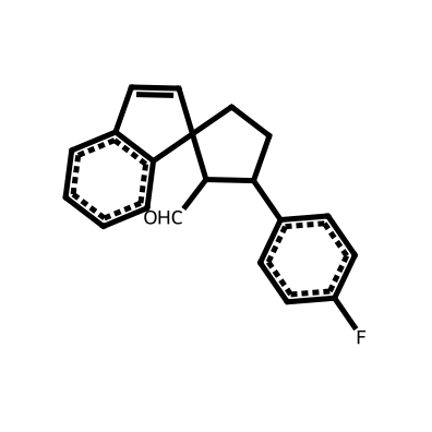 O=CC1C(c2ccc(F)cc2)CCC12C=Cc1ccccc12